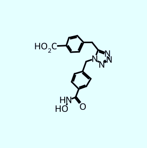 O=C(O)c1ccc(Cc2nnnn2Cc2ccc(C(=O)NO)cc2)cc1